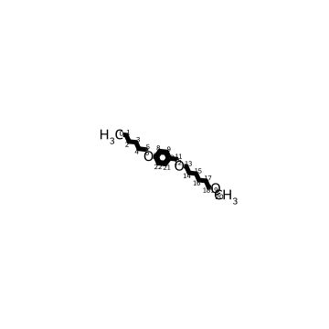 CCCCCCOc1ccc(COCCCCCCOC)cc1